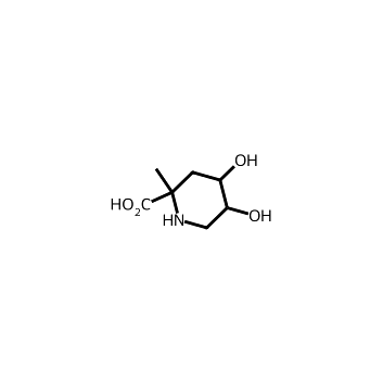 CC1(C(=O)O)CC(O)C(O)CN1